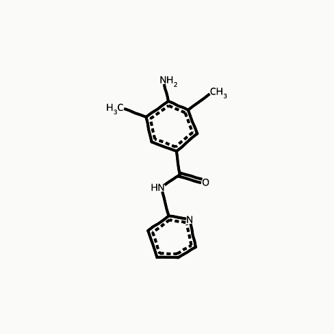 Cc1cc(C(=O)Nc2ccccn2)cc(C)c1N